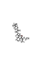 Cc1cc(C(=O)Nc2ccc(S(C)(=O)=O)cc2)c(C)n1-c1ccccc1C(=O)N(CCC#N)C1CC1